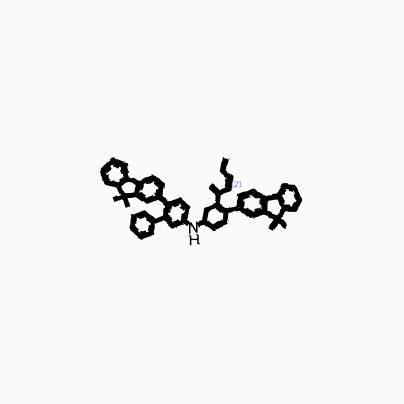 C=C/C=C\C(=C)C1=C(c2ccc3c(c2)C(C)(C)c2ccccc2-3)C=CC(Nc2ccc(-c3ccc4c(c3)C(C)(C)c3ccccc3-4)c(-c3ccccc3)c2)C1